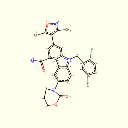 Cc1noc(C)c1-c1cc(C(N)=O)c2c3cc(N4CCCOC4=O)ccc3n(Cc3cc(F)ccc3F)c2c1